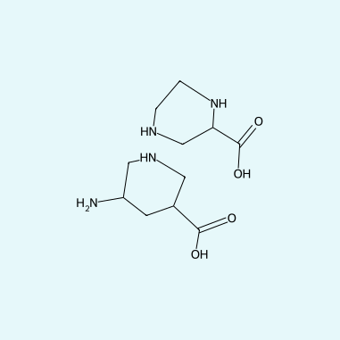 NC1CNCC(C(=O)O)C1.O=C(O)C1CNCCN1